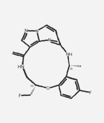 C=C1NC[C@@H](CF)Oc2ccc(F)cc2[C@@H](C)Nc2ccn3ncc1c3n2